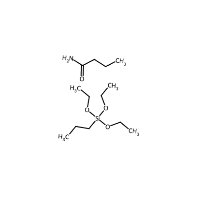 CCCC(N)=O.CCC[Si](OCC)(OCC)OCC